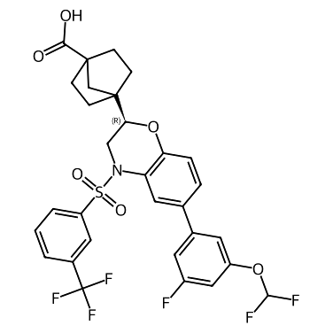 O=C(O)C12CCC([C@@H]3CN(S(=O)(=O)c4cccc(C(F)(F)F)c4)c4cc(-c5cc(F)cc(OC(F)F)c5)ccc4O3)(CC1)C2